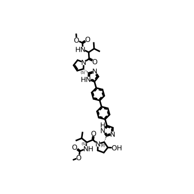 COC(=O)NC(C(=O)N1CC=C[C@H]1c1ncc(-c2ccc(-c3ccc(-c4cnc([C@@H]5C(O)CCN5C(=O)[C@@H](NC(=O)OC)C(C)C)[nH]4)cc3)cc2)[nH]1)C(C)C